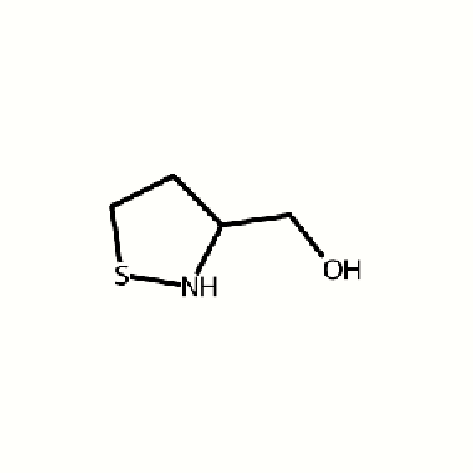 OCC1CCSN1